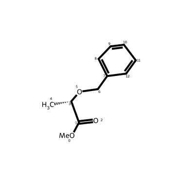 COC(=O)[C@H](C)OCc1ccccc1